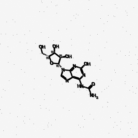 NC(=O)Nc1nc(O)nc2c1ncn2[C@@H]1O[C@H](CO)[C@@H](O)[C@H]1O